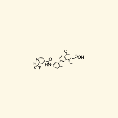 CCN(CCOO)c1cc(-c2cc(NC(=O)c3ccnc(C(F)(F)F)c3)ccc2C)ccc1C(C)=O